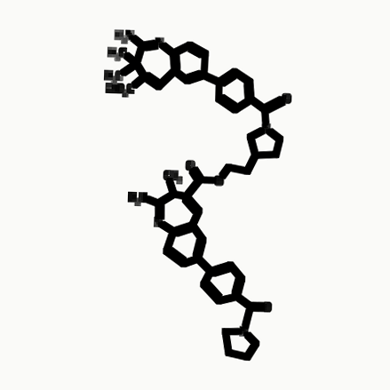 CCOC(=O)C1=Cc2cc(-c3ccc(C(=O)N4CCC(CCOC(=O)C5=Cc6cc(-c7ccc(C(=O)N8CCCC8)cc7)ccc6N=C(N)C5C)C4)cc3)ccc2N=C(N)C1(C)C